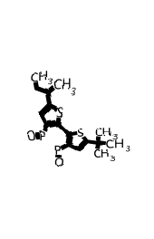 CCC(C)c1cc(P=O)c(-c2sc(C(C)(C)C)cc2P=O)s1